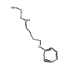 CCCCOCNCCCCOc1ccccc1